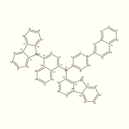 c1ccc2cc(-c3ccc(N(c4ccc(-n5c6ccccc6c6ccccc65)c5ccccc45)c4cccc5c4oc4ccccc45)cc3)ccc2c1